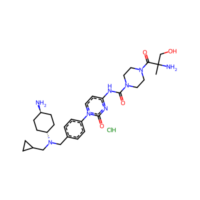 CC(N)(CO)C(=O)N1CCN(C(=O)Nc2ccn(-c3ccc(CN(CC4CC4)[C@H]4CC[C@H](N)CC4)cc3)c(=O)n2)CC1.Cl